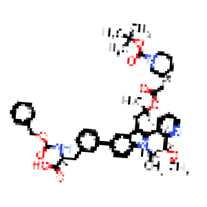 CCn1c(-c2cccnc2[C@H](C)OC)c(CC(C)(C)OC(=O)C[C@H]2CCCN(C(=O)OC(C)(C)C)C2)c2cc(-c3cccc(C[C@H](NC(=O)OCc4ccccc4)C(=O)O)c3)ccc21